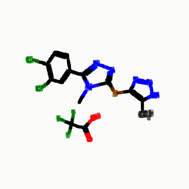 Cn1c(Sc2nn[nH]c2C(=O)O)nnc1-c1ccc(Cl)c(Cl)c1.O=C(O)C(F)(F)F